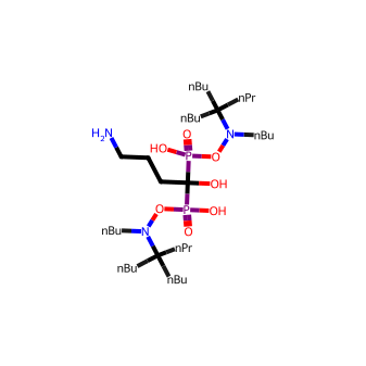 CCCCN(OP(=O)(O)C(O)(CCCN)P(=O)(O)ON(CCCC)C(CCC)(CCCC)CCCC)C(CCC)(CCCC)CCCC